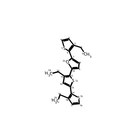 CCc1ccsc1-c1ccc(-c2sc(-c3sccc3CC)cc2CC)o1